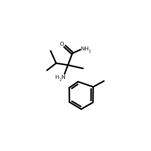 CC(C)C(C)(N)C(N)=O.Cc1ccccc1